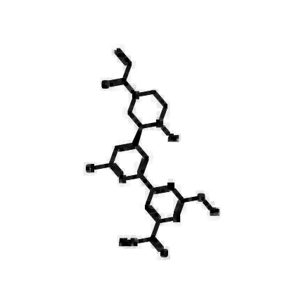 C=CC(=O)N1CCN(C(C)=O)[C@@H](c2cc(Cl)nc(-c3cc(C(=O)NC)nc(OCC)n3)c2)C1